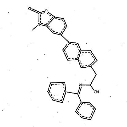 Cn1c(=O)oc2ccc(-c3ccc4cc(CC(C#N)N=C(c5ccccc5)c5ccccc5)ccc4c3)cc21